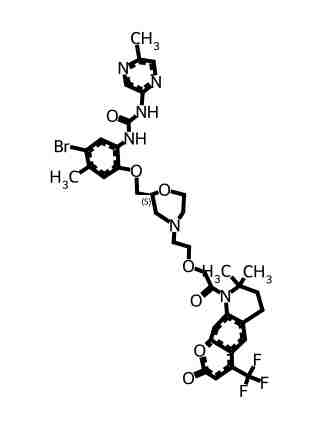 Cc1cnc(NC(=O)Nc2cc(Br)c(C)cc2OC[C@@H]2CN(CCOCC(=O)N3c4cc5oc(=O)cc(C(F)(F)F)c5cc4CCC3(C)C)CCO2)cn1